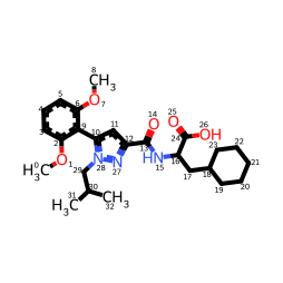 COc1cccc(OC)c1-c1cc(C(=O)NC(CC2CCCCC2)C(=O)O)nn1CC(C)C